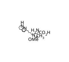 CO[C@H](C)CN(CCCCc1ccc2c(n1)NCCC2)CCC(N)C(=O)O